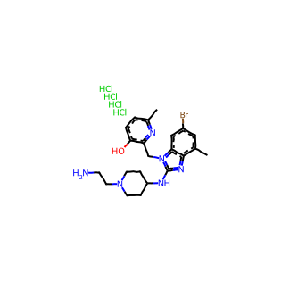 Cc1ccc(O)c(Cn2c(NC3CCN(CCN)CC3)nc3c(C)cc(Br)cc32)n1.Cl.Cl.Cl.Cl